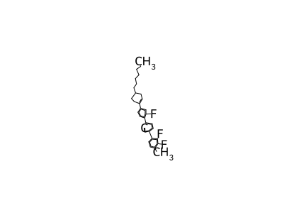 CCCCCCCC1CC=C(c2ccc(-c3ccc(-c4ccc(C)c(F)c4F)cc3)c(F)c2)CC1